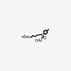 CCCCCCCCCCCCCCCCN(C(=O)COC(C)=O)c1ccc(C)cc1